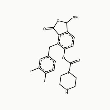 Cc1ccc(Cc2c(OC(=O)N3CCNCC3)ccc3c2C(=O)OC3C(C)(C)C)cc1F